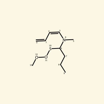 C=C/C=C\N(C)C(CCC)SOOC